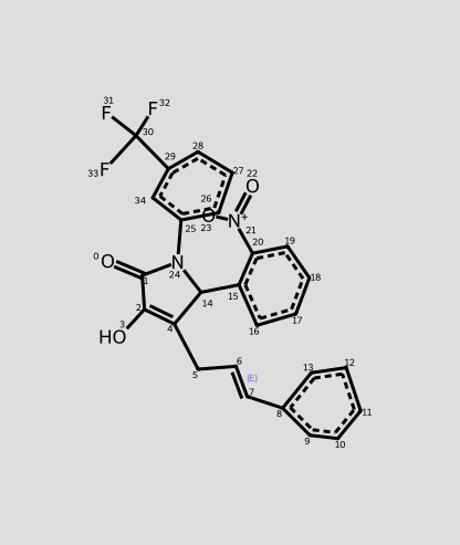 O=C1C(O)=C(C/C=C/c2ccccc2)C(c2ccccc2[N+](=O)[O-])N1c1cccc(C(F)(F)F)c1